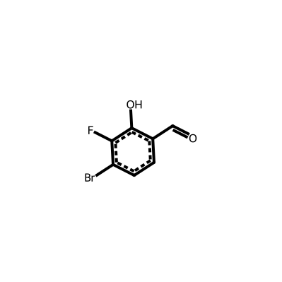 O=Cc1ccc(Br)c(F)c1O